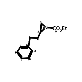 CCOC(=O)N1CC1CCc1ccccc1